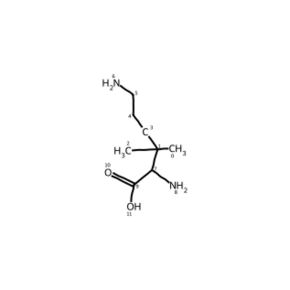 CC(C)(CCCN)C(N)C(=O)O